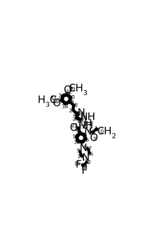 C=CC(=O)Nc1cc(N2CCN(CC(F)F)CC2)ccc1C(=O)Nc1cc(CCc2cc(OC)cc(OC)c2)n[nH]1